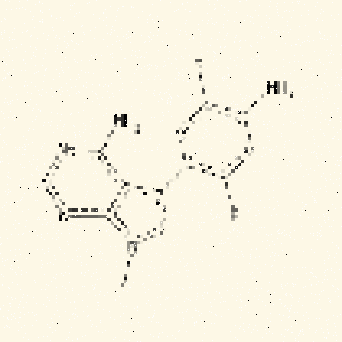 Cn1cc(-c2cc(F)c(N)cc2F)c2c(N)ncnc21